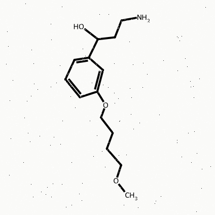 COCCCCOc1cccc(C(O)CCN)c1